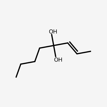 CC=CC(O)(O)CCCC